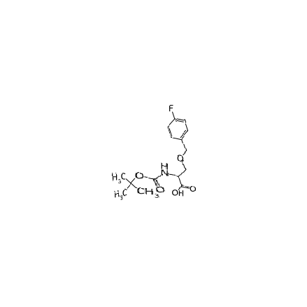 CC(C)(C)OC(=O)NC(COCc1ccc(F)cc1)C(=O)O